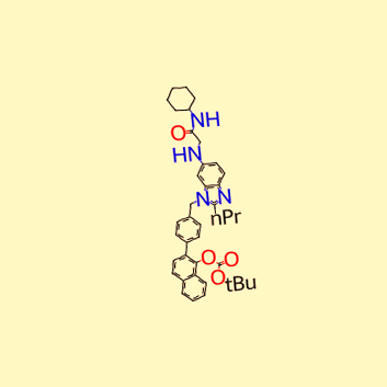 CCCc1nc2ccc(NCC(=O)NC3CCCCC3)cc2n1Cc1ccc(-c2ccc3ccccc3c2OC(=O)OC(C)(C)C)cc1